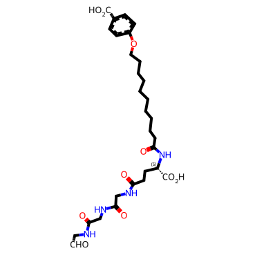 O=CCNC(=O)CNC(=O)CNC(=O)CC[C@H](NC(=O)CCCCCCCCCCOc1ccc(C(=O)O)cc1)C(=O)O